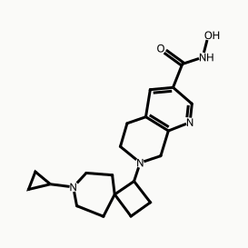 O=C(NO)c1cnc2c(c1)CCN(C1CCC13CCN(C1CC1)CC3)C2